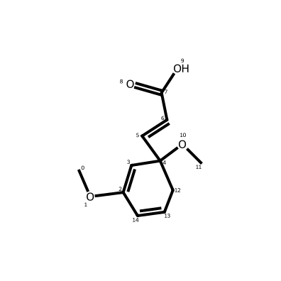 COC1=CC(C=CC(=O)O)(OC)CC=C1